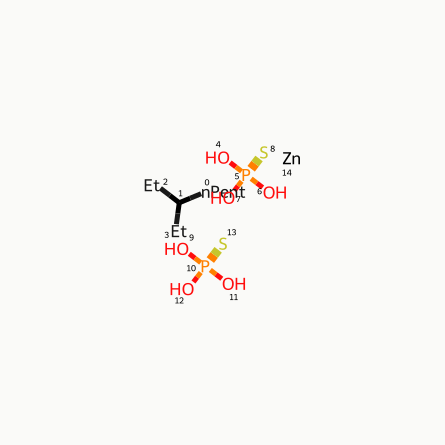 CCCCCC(CC)CC.OP(O)(O)=S.OP(O)(O)=S.[Zn]